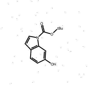 CC(C)(C)OC(=O)n1ccc2ccc(O)cc21